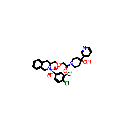 O=C(COCC1Cc2ccccc2CN1S(=O)(=O)c1ccc(Cl)c(Cl)c1)N1CCC(O)(c2cccnc2)CC1